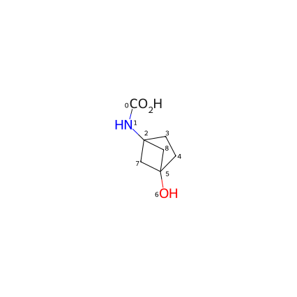 O=C(O)NC12CCC(O)(C1)C2